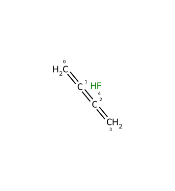 C=C=C=C.F